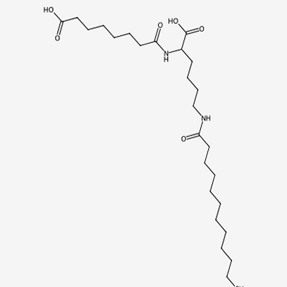 CCCCCCCCCCCC(=O)NCCCCC(NC(=O)CCCCCCC(=O)O)C(=O)O